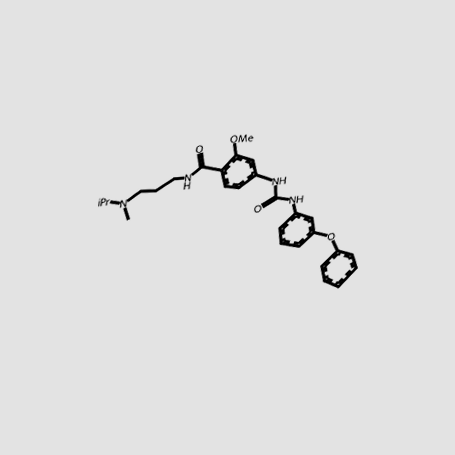 COc1cc(NC(=O)Nc2cccc(Oc3ccccc3)c2)ccc1C(=O)NCCCN(C)C(C)C